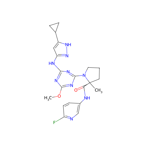 COc1nc(Nc2cc(C3CC3)[nH]n2)nc(N2CCCC2(C)C(=O)Nc2ccc(F)nc2)n1